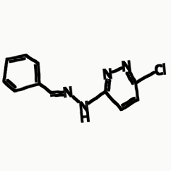 Clc1ccc(NN=Cc2ccccc2)nn1